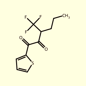 CCCC(C(=O)C(=O)c1cccs1)C(F)(F)F